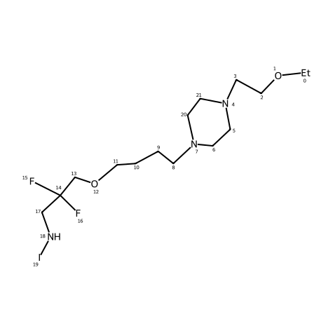 CCOCCN1CCN(CCCCOCC(F)(F)CNI)CC1